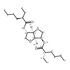 CCCC[C@@H](CC)C(=O)O[C@H]1CO[C@H]2[C@@H]1OC[C@H]2OC(=O)[C@@H](CC)CCCC